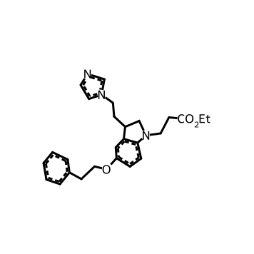 CCOC(=O)CCN1CC(CCn2ccnc2)c2cc(OCCc3ccccc3)ccc21